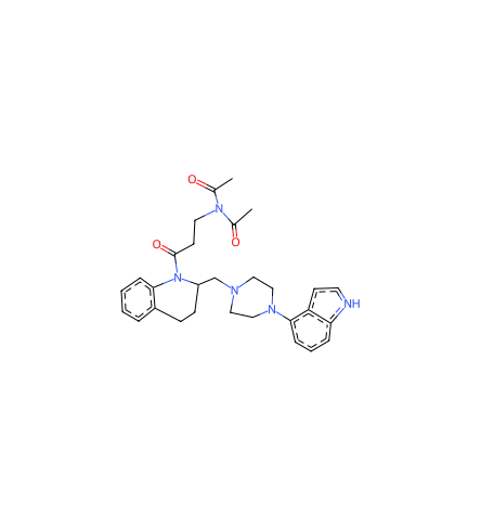 CC(=O)N(CCC(=O)N1c2ccccc2CCC1CN1CCN(c2cccc3[nH]ccc23)CC1)C(C)=O